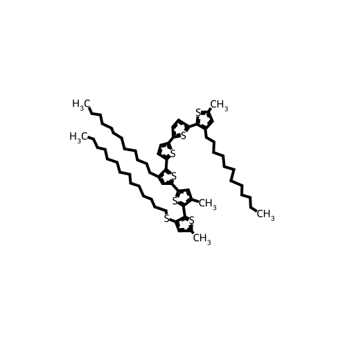 CCCCCCCCCCCCCCSc1cc(C)sc1-c1sc(-c2cc(CCCCCCCCCCCC)c(-c3ccc(-c4ccc(-c5sc(C)cc5CCCCCCCCCCCC)s4)s3)s2)cc1C